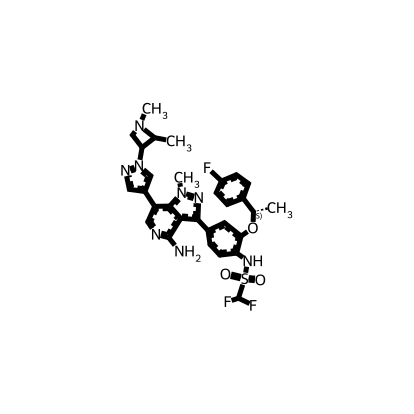 CC1C(n2cc(-c3cnc(N)c4c(-c5ccc(NS(=O)(=O)C(F)F)c(O[C@@H](C)c6ccc(F)cc6)c5)nn(C)c34)cn2)CN1C